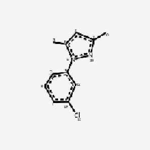 Cc1cc(C)n(-c2[c]ccc(Cl)c2)n1